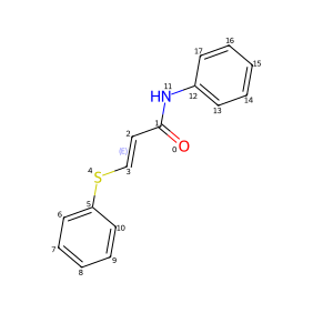 O=C(/C=C/Sc1ccccc1)Nc1ccccc1